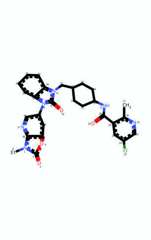 CCn1c(=O)oc2cc(-n3c(=O)n(CC4CCC(NC(=O)c5cc(Cl)cnc5C)CC4)c4ccccc43)cnc21